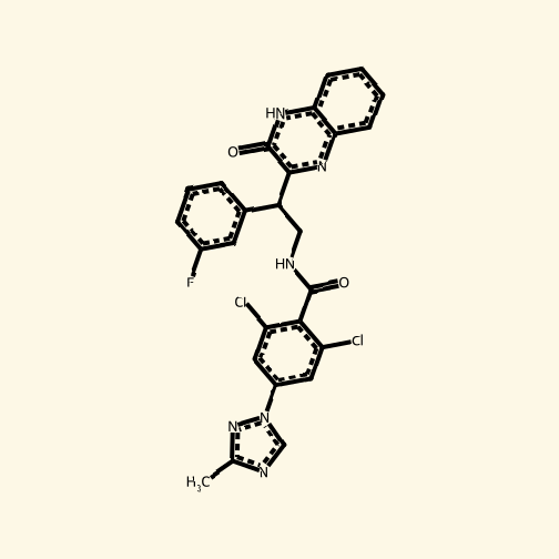 Cc1ncn(-c2cc(Cl)c(C(=O)NCC(c3cccc(F)c3)c3nc4ccccc4[nH]c3=O)c(Cl)c2)n1